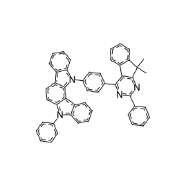 CC1(C)c2ccccc2-c2c(-c3ccc(-n4c5ccccc5c5ccc6c(c7ccccc7n6-c6ccccc6)c54)cc3)nc(-c3ccccc3)nc21